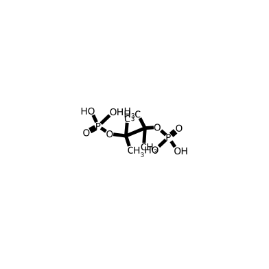 CC(C)(OP(=O)(O)O)C(C)(C)OP(=O)(O)O